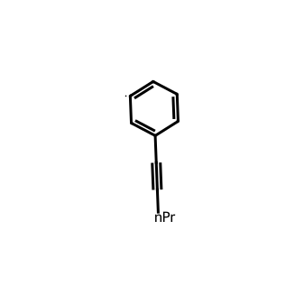 CCCC#Cc1c[c]ccc1